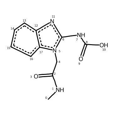 CNC(=O)Cn1c(NC(=O)O)nc2ccccc21